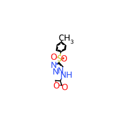 Cc1ccc(S(=O)(=O)c2cn(NC3COC3=O)nn2)cc1